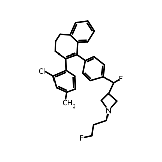 Cc1ccc(C2=C(c3ccc(C(F)C4CN(CCCF)C4)cc3)c3ccccc3CCC2)c(Cl)c1